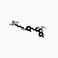 Cc1ccc2c(c1)nc(N)c1ncc(CCc3ccc(NCCCCCCP(=O)(O)O)cc3C)cc12